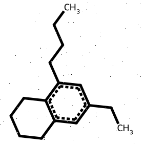 CCCCc1cc(CC)cc2c1CCC[C]2